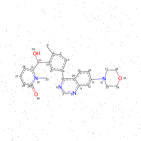 Cc1ccc(-c2ncnc3cc(N4CCOCC4)ccc23)cc1C(O)c1cccc(=O)n1C